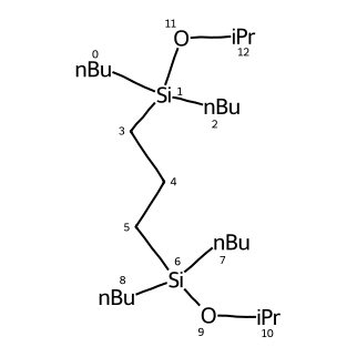 CCCC[Si](CCCC)(CCC[Si](CCCC)(CCCC)OC(C)C)OC(C)C